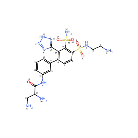 NCCNS(=O)(=O)c1ccc(-c2cccc(NC(=O)C(N)CN)c2)c(-c2nn[nH]n2)c1S(N)(=O)=O